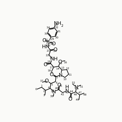 CCC(C)C(C(CC(=O)N1CCCC1C(OC)C(C)C(=O)NCC(=O)NS(=O)(=O)c1ccc(N)cc1)OC)N(C)C(=O)CNC(=O)C(C(C)C)N(C)C